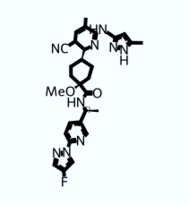 CO[C@]1(C(=O)N[C@@H](C)c2ccc(-n3cc(F)cn3)nc2)CC[C@H](C2N=C(Nc3cc(C)[nH]n3)C(C)=CC2C#N)CC1